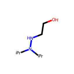 CC(C)N(NCCO)C(C)C